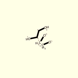 CCl.CCl.OCCO